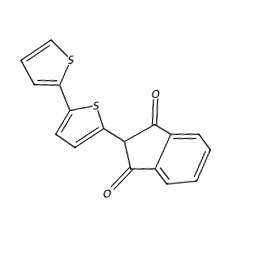 O=C1c2ccccc2C(=O)C1c1ccc(-c2cccs2)s1